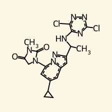 CC(Nc1nc(Cl)nnc1Cl)c1cc2cc(C3CC3)cc(N3CC(=O)N(C)C3=O)n2n1